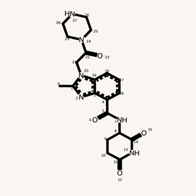 Cc1nc2c(C(=O)NC3CCC(=O)NC3=O)cccc2n1CC(=O)N1CCNCC1